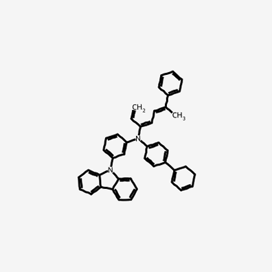 C=C/C(=C\C=C(/C)c1ccccc1)N(c1ccc(C2=CC=CCC2)cc1)c1cccc(-n2c3ccccc3c3ccccc32)c1